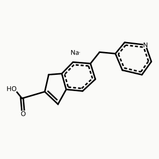 O=C(O)C1=Cc2ccc(Cc3cccnc3)cc2C1.[Na]